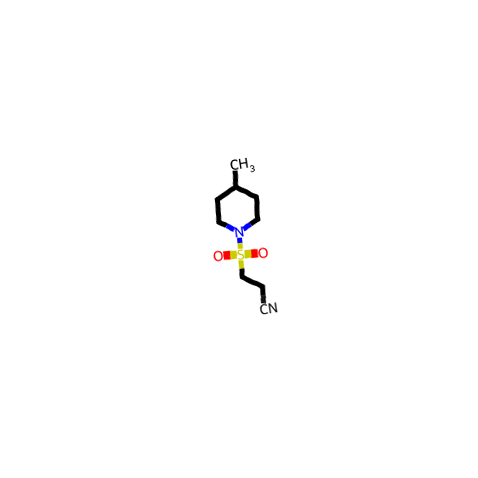 CC1CCN(S(=O)(=O)CCC#N)CC1